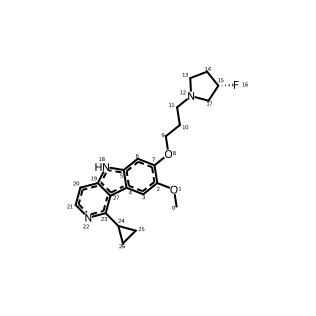 COc1cc2c(cc1OCCCN1CC[C@H](F)C1)[nH]c1ccnc(C3CC3)c12